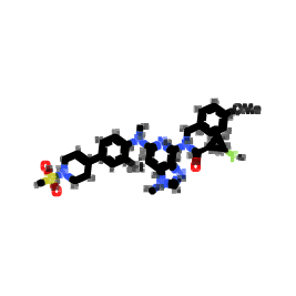 CCc1cc(C2=CCN(S(C)(=O)=O)CC2)ccc1N(C)c1cc2c(ncn2C)c(N(Cc2ccc(OC)cc2)C(=O)[C@H]2C[C@H]2F)n1